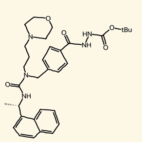 C[C@H](NC(=O)N(CCCN1CCOCC1)Cc1ccc(C(=O)NNC(=O)OC(C)(C)C)cc1)c1cccc2ccccc12